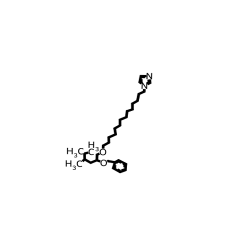 CC(C)C(C)CC(COCCCCCCCCCCCCCCn1ccnc1)OCc1ccccc1